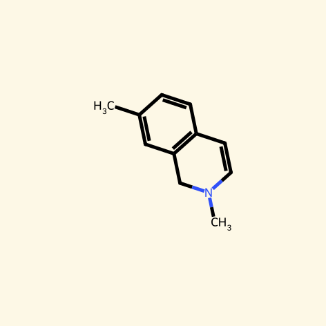 Cc1ccc2c(c1)CN(C)C=C2